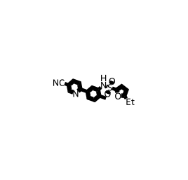 CCc1ccc(S(=O)(=O)Nc2cc(-c3ccc(C#N)cn3)ccc2C)o1